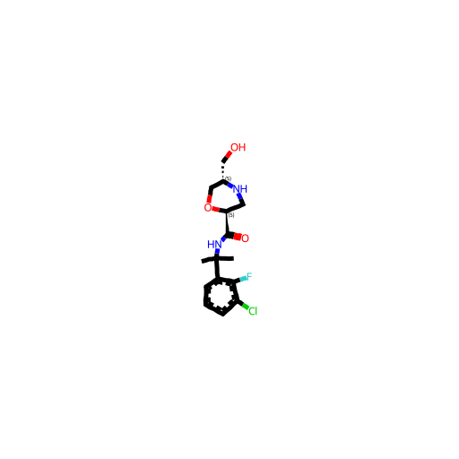 CC(C)(NC(=O)[C@@H]1CN[C@@H](CO)CO1)c1cccc(Cl)c1F